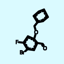 O=Cc1cc(Br)c(F)cc1OCc1ccccc1